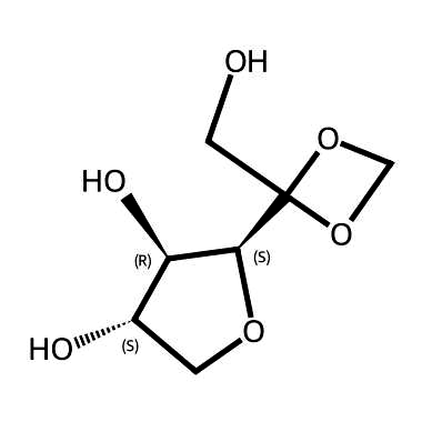 OCC1([C@H]2OC[C@H](O)[C@H]2O)OCO1